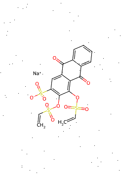 C=CS(=O)(=O)Oc1c(S(=O)(=O)[O-])cc2c(c1OS(=O)(=O)C=C)C(=O)c1ccccc1C2=O.[Na+]